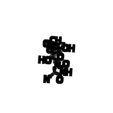 CS(=O)(=O)O[C@@H]1[C@@H](O)[C@H](n2cc(C#N)c(=O)[nH]c2=O)O[C@@H]1CO